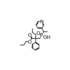 CCCOC(=O)C(CCC)(CP(=O)(O)C(C)c1cccnc1)c1ccccc1